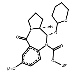 COc1ccc2c(c1)C(=O)N1CCC[C@H]1[C@H](OC1CCCCO1)N2C(=O)OC(C)(C)C